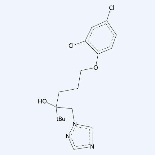 CC(C)(C)C(O)(CCCOc1ccc(Cl)cc1Cl)Cn1cncn1